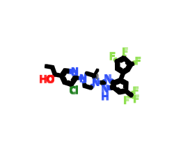 CCC(O)c1cnc(N2CCN(c3nc4c(-c5cc(F)c(F)c(F)c5)cc(C(F)(F)F)cc4[nH]3)[C@H](C)C2)c(Cl)c1